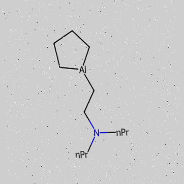 CCCN(CCC)C[CH2][Al]1[CH2]CC[CH2]1